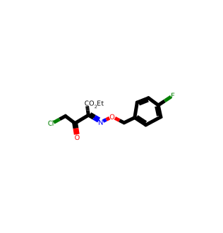 CCOC(=O)/C(=N\OCc1ccc(F)cc1)C(=O)CCl